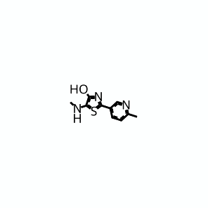 CNc1sc(-c2ccc(C)nc2)nc1O